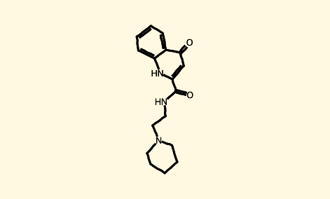 O=C(NCCN1CCCCC1)c1cc(=O)c2ccccc2[nH]1